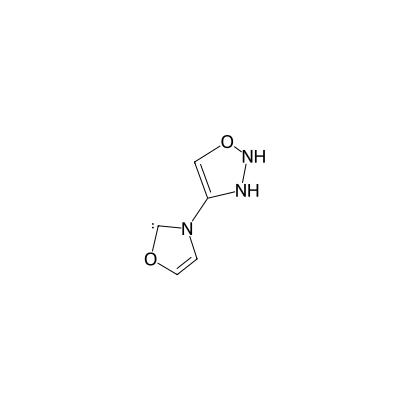 [C]1OC=CN1C1=CONN1